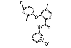 Cc1ccc(C(=O)Nc2ccc[n+]([O-])c2)c(Oc2ccc(F)cc2C)c1